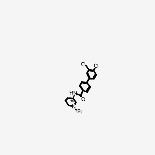 CC(C)N1CCC[C@@H](NC(=O)c2ccc(-c3ccc(Cl)c(Cl)c3)cc2)C1